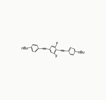 CCCCc1ccc(C#Cc2cc(F)c(C#Cc3ccc(CCCC)cc3)c(F)c2)cc1